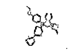 C=CC[Si](CI)(CC=C)C[Si](CC=C)(c1ccc(OCC)cc1)c1ccc(-c2ccccc2)cc1